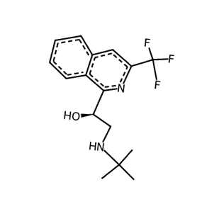 CC(C)(C)NC[C@@H](O)c1nc(C(F)(F)F)cc2ccccc12